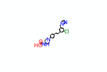 O=C(O)NC1CCN(c2ccc(C=Cc3cc(Cl)cc(Cn4ccnc4)c3)cc2)CC1